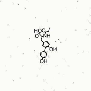 CCC(=O)NC(Cc1ccc(O)c(-c2ccc(O)cc2)c1)C(=O)O